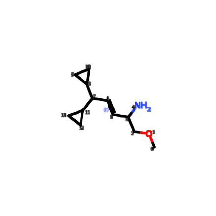 COCC(N)/C=C/C(C1CC1)C1CC1